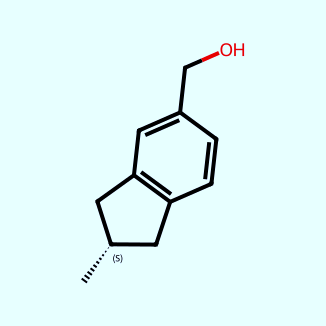 C[C@H]1Cc2ccc(CO)cc2C1